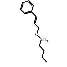 CCCC[SiH2]OCC=Cc1ccccc1